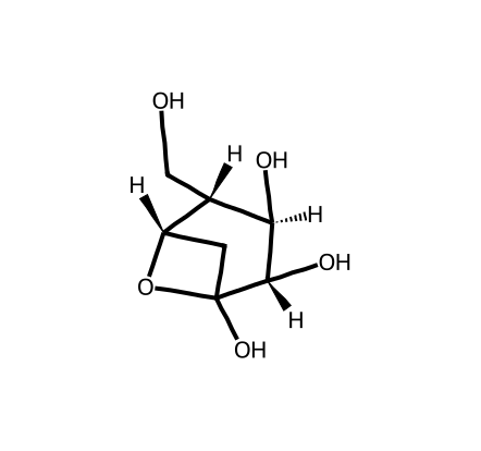 OC[C@@H]1[C@@H](O)[C@H](O)C2(O)C[C@@H]1O2